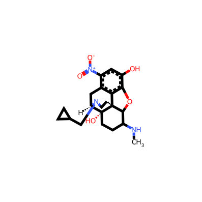 CNC1CC[C@@]2(O)[C@H]3Cc4c([N+](=O)[O-])cc(O)c5c4[C@@]2(CCN3CC2CC2)C1O5